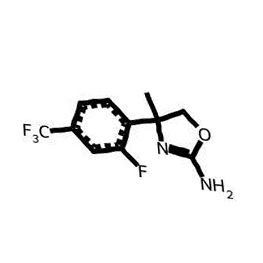 CC1(c2ccc(C(F)(F)F)cc2F)COC(N)=N1